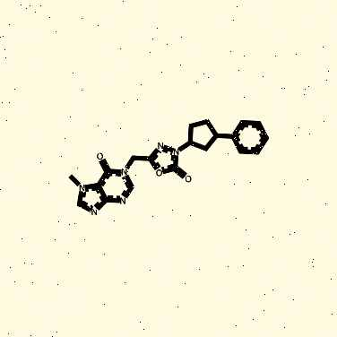 Cn1cnc2ncn(Cc3nn(C4CCC(c5ccccc5)C4)c(=O)o3)c(=O)c21